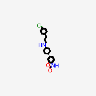 O=c1[nH]c2ccc([C@H]3CC[C@H](NCCCc4ccc(Cl)cc4)CC3)cc2o1